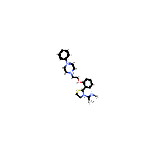 CC(=O)N=C(OC(C)=O)N1CCSC1c1ccccc1OCCN1CCN(c2ccccc2)CC1